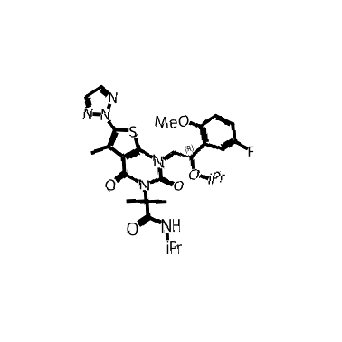 COc1ccc(F)cc1[C@H](Cn1c(=O)n(C(C)(C)C(=O)NC(C)C)c(=O)c2c(C)c(-n3nccn3)sc21)OC(C)C